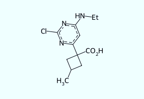 CCNc1cc(C2(C(=O)O)CC(C)C2)nc(Cl)n1